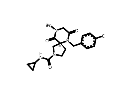 CC(C)N1CC(=O)N(Cc2ccc(Cl)cc2)[C@@]2(CCN(C(=O)NC3CC3)C2)C1=O